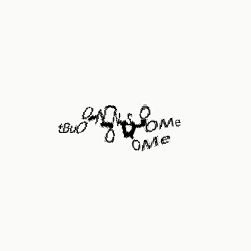 COC(=O)c1sc(N2CCN(C(=O)OC(C)(C)C)CC2=O)cc1OC